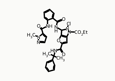 CCOC(=O)N1c2cc(C(=O)NC(C)(C)c3ccccc3)oc2C(NC(=O)c2ccccc2NC(=O)c2ccnn2C)N1Cl